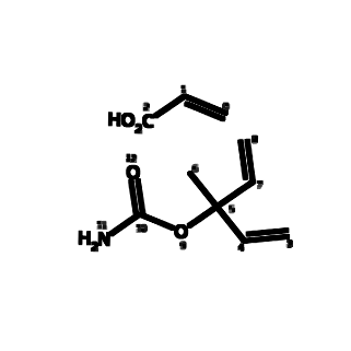 C=CC(=O)O.C=CC(C)(C=C)OC(N)=O